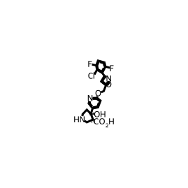 O=C(O)[C@H]1CNCC[C@]1(O)c1ccc(OCc2cc(-c3c(F)ccc(F)c3Cl)no2)nc1